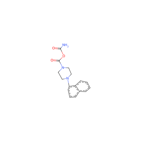 NC(=O)OC(=O)N1CCN(c2cccc3ccccc23)CC1